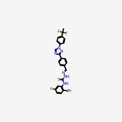 CC(C)c1ccc(F)cc1NC(=S)N/N=C/c1ccc(-c2ncn(-c3ccc(C(C)(F)F)cc3)n2)cc1